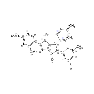 C=C(Cl)/C=C\C(=C/C)[C@H]1c2c(nc(-c3cnc(OC)nc3OC)n2C(C)C)C(=O)N1C1=CC(Cl)=CN(C)C1